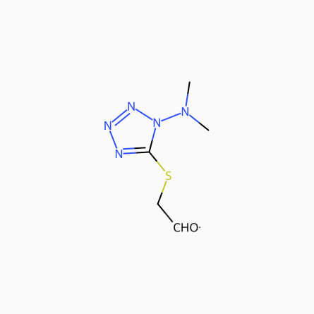 CN(C)n1nnnc1SC[C]=O